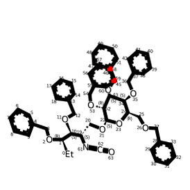 CC[C@@H](OCc1ccccc1)[C@@H](OCc1ccccc1)[C@H](CO[C@H]1O[C@H](COCc2ccccc2)[C@H](OCc2ccccc2)[C@H](OCc2ccccc2)[C@H]1OCc1ccccc1)N=C=O